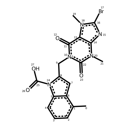 Cc1cccc2c1cc(Cn1c(=O)c3c(nc(Br)n3C)n(C)c1=O)n2C(=O)O